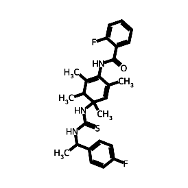 CC1=CC(C)(NC(=S)NC(C)c2ccc(F)cc2)C(C)C(C)=C1NC(=O)c1ccccc1F